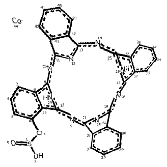 O=S(O)Oc1cccc2c3nc4nc(nc5[nH]c(nc6nc(nc([nH]3)c12)-c1ccccc1-6)c1ccccc51)-c1ccccc1-4.[Co]